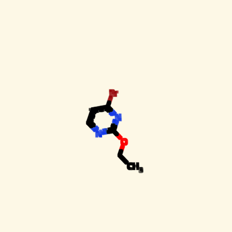 CCOc1nc[c]c(Br)n1